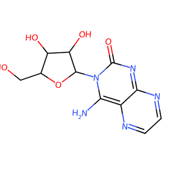 Nc1c2nccnc2nc(=O)n1C1OC(CO)C(O)C1O